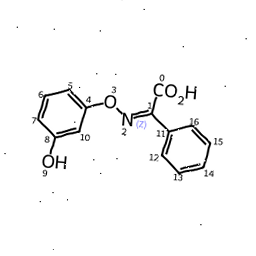 O=C(O)/C(=N\Oc1cccc(O)c1)c1ccccc1